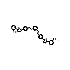 Cc1cccc(-c2ccn(-c3ccc(CCc4cccc(CCc5ccc(-n6ccc(-c7ccccc7C)n6)cc5)c4)cc3)n2)c1